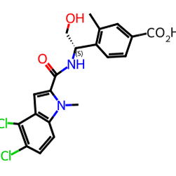 Cc1cc(C(=O)O)ccc1[C@@H](CO)NC(=O)c1cc2c(Cl)c(Cl)ccc2n1C